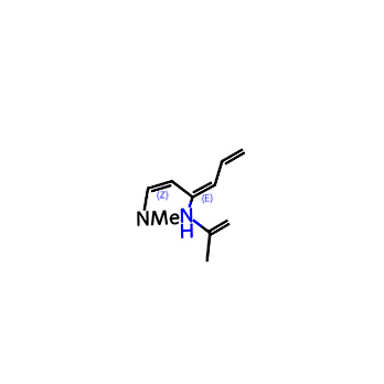 C=C/C=C(\C=C/NC)NC(=C)C